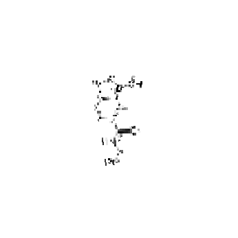 CC(C)CNC(=O)c1ccc2c(c1)B(O)OC2